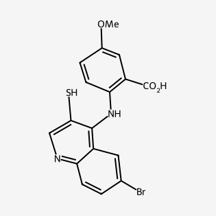 COc1ccc(Nc2c(S)cnc3ccc(Br)cc23)c(C(=O)O)c1